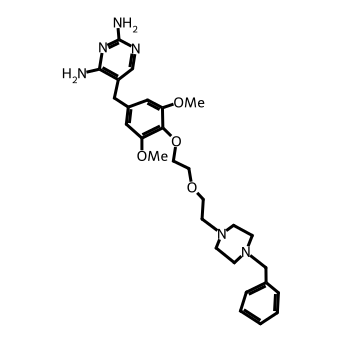 COc1cc(Cc2cnc(N)nc2N)cc(OC)c1OCCOCCN1CCN(Cc2ccccc2)CC1